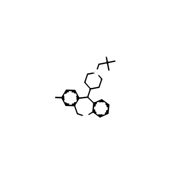 CC(C)(CN1CCC(C2c3ccc(F)cc3COc3ccccc32)CC1)C(=O)O